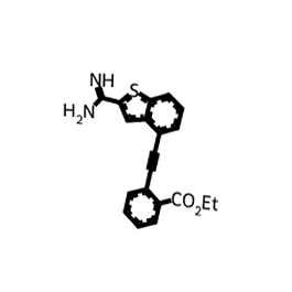 CCOC(=O)c1ccccc1C#Cc1cccc2sc(C(=N)N)cc12